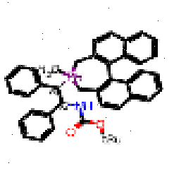 B[PH]1([C@@H](c2ccccc2)[C@@H](NC(=O)OC(C)(C)C)c2ccccc2)Cc2ccc3ccccc3c2-c2c(ccc3ccccc23)C1